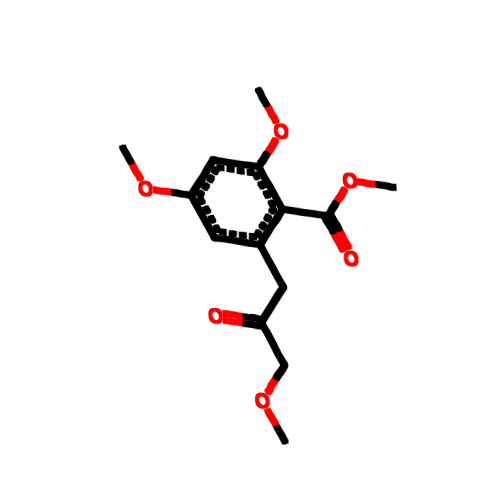 COCC(=O)Cc1cc(OC)cc(OC)c1C(=O)OC